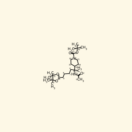 CC(=O)NC(C)(CCCCB1OC(C)(C)C(C)(C)O1)C1CCN(C(=O)OC(C)(C)C)CC1